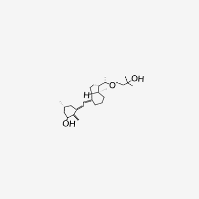 C=C1/C(=C/C=C2\CCC[C@]3(C)[C@@H]([C@H](C)OCCC(C)(C)O)CC[C@@H]23)C[C@@H](C)C[C@@H]1O